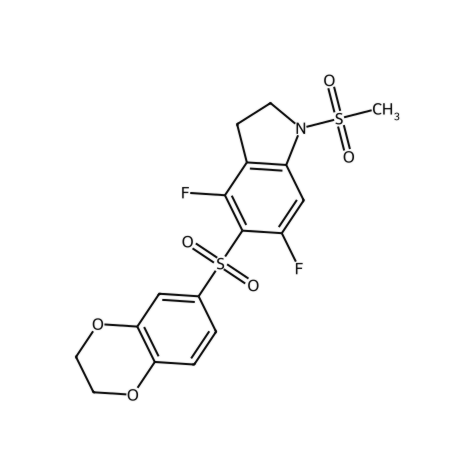 CS(=O)(=O)N1CCc2c1cc(F)c(S(=O)(=O)c1ccc3c(c1)OCCO3)c2F